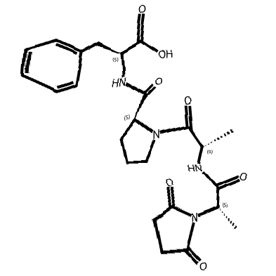 C[C@H](NC(=O)[C@H](C)N1C(=O)CCC1=O)C(=O)N1CCC[C@H]1C(=O)N[C@@H](Cc1ccccc1)C(=O)O